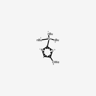 CCC[CH2][Sn]([CH2]CCC)([CH2]CCC)[c]1ncc(OC)s1